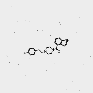 O=C(c1cccc2[nH]ccc12)N1CCN(CCc2ccc(F)cc2)CC1